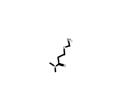 BCOCCC(=O)N(C)C